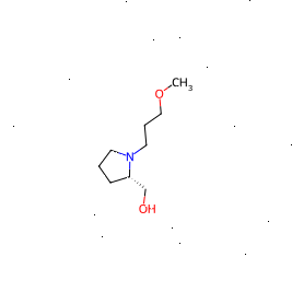 COCCCN1CCC[C@H]1CO